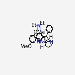 CCNCC.COc1ccc(OC)c(CN[C@@H]2[C@@H]3CCN(C[C@@H]3C)[C@@H]2C(c2ccccc2)c2ccccc2)c1